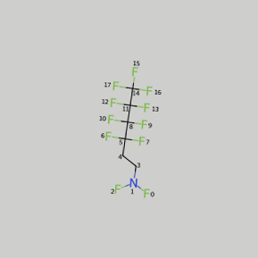 FN(F)CCC(F)(F)C(F)(F)C(F)(F)C(F)(F)F